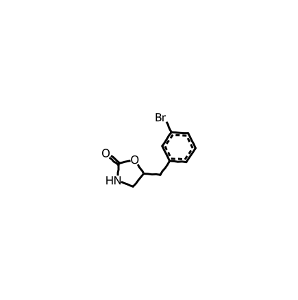 O=C1NCC(Cc2cccc(Br)c2)O1